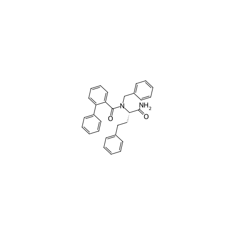 NC(=O)[C@H](CCc1ccccc1)N(Cc1ccccc1)C(=O)c1ccccc1-c1ccccc1